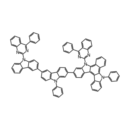 c1ccc(-c2nc(-n3c4ccccc4c4cc(-c5ccc6c(c5)c5ccc(-c7ccc8c9c%10c%11ccccc%11n(-c%11ccccc%11)c%10c%10ccccc%10c9n(-c9nc(-c%10ccccc%10)c%10ccccc%10n9)c8c7)cc5n6-c5ccccc5)ccc43)nc3ccccc23)cc1